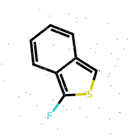 Fc1s[c]c2ccccc12